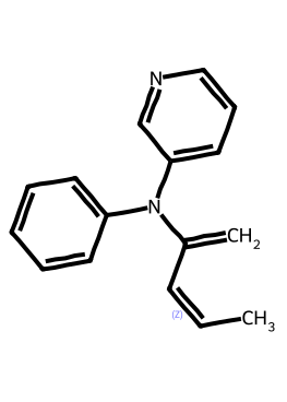 C=C(/C=C\C)N(c1ccccc1)c1cccnc1